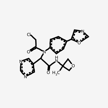 CC1(NC(=O)C(c2cncnc2)N(C(=O)CCl)c2ccc(-c3cnco3)cc2)COC1